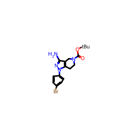 CC(C)(C)OC(=O)N1CCc2c(c(N)nn2-c2ccc(Br)cc2)C1